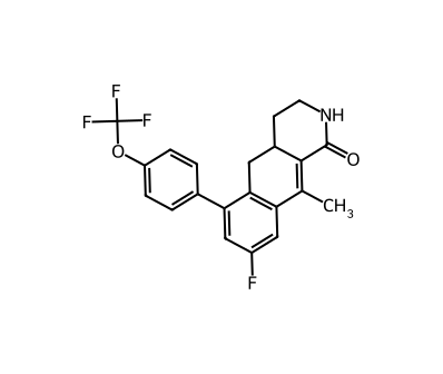 CC1=C2C(=O)NCCC2Cc2c1cc(F)cc2-c1ccc(OC(F)(F)F)cc1